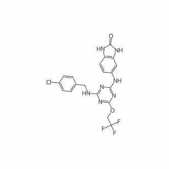 O=c1[nH]c2ccc(Nc3nc(NCc4ccc(Cl)cc4)nc(OCC(F)(F)F)n3)cc2[nH]1